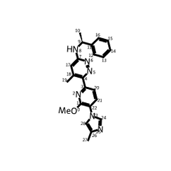 COc1nc(-c2nnc(N[C@@H](C)c3ccccc3)cc2C)ccc1-n1cnc(C)c1